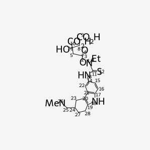 CCN(OC(=O)CC(O)(CC(=O)O)C(=O)O)C(=S)Nc1ccc2[nH]c3c(c2c1)CC(CNC)CC3